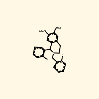 COc1cc2c(cc1OC)C(c1ccccc1F)N(Cc1ccccc1F)CC2